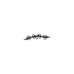 CCCc1ccc(C(=O)Oc2ccc(CCC(=O)Oc3ccc4c(c3)C(CCC)c3cc(OC(=O)CCc5ccc(OC(=O)c6ccc(CCC)cc6)cc5)ccc3-4)cc2)cc1